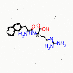 NC(N)=NCCC[C@H](NC(=O)[C@@H](N)Cc1ccc2ccccc2c1)C(=O)O